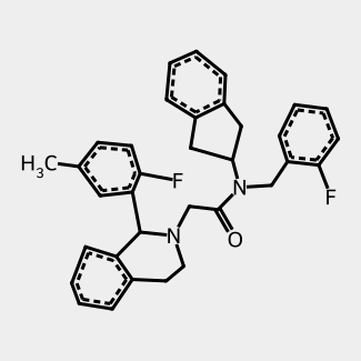 Cc1ccc(F)c(C2c3ccccc3CCN2CC(=O)N(Cc2ccccc2F)C2Cc3ccccc3C2)c1